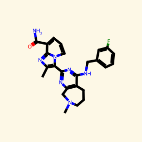 Cc1nc2c(C(N)=O)cccn2c1-c1nc2c(c(NCc3cccc(F)c3)n1)CCCN(C)C2